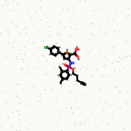 C#CCCCOP(=O)(Nc1cc(-c2ccc(Cl)cc2)sc1C(=O)O)c1ccc(C)cc1C